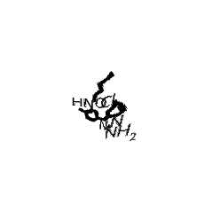 C#CCCCC(=O)Nc1cc(-c2nc(N)nc3ccc(Cl)cc23)ccc1C